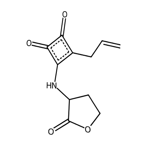 C=CCc1c(NC2CCOC2=O)c(=O)c1=O